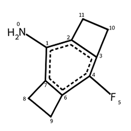 Nc1c2c(c(F)c3c1CC3)CC2